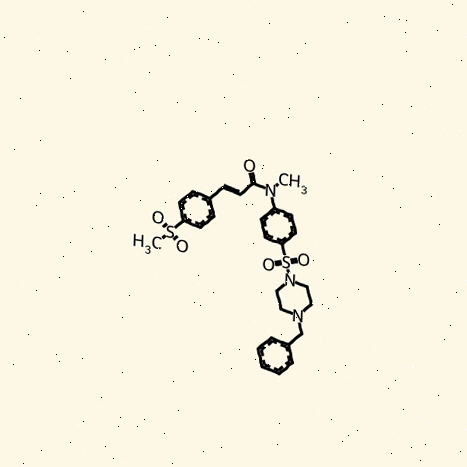 CN(C(=O)C=Cc1ccc(S(C)(=O)=O)cc1)c1ccc(S(=O)(=O)N2CCN(Cc3ccccc3)CC2)cc1